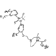 CCc1cc(N2C(=S)N(c3ccc(C#N)c(C(F)(F)F)c3)C(=O)C2(C)C)ccc1OCCN1CCN(C(=O)OC(C)(C)C)[C@H](C)C1